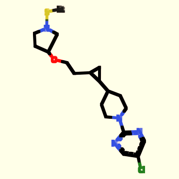 CCSN1CCC(OCCC2CC2C2CCN(c3ncc(Cl)cn3)CC2)C1